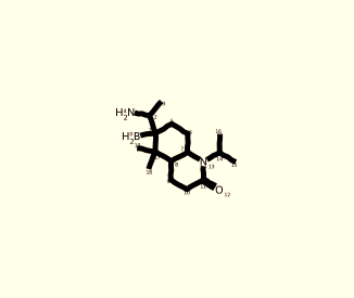 BC1(C(C)N)CCC2C(CCC(=O)N2C(C)C)C1(C)C